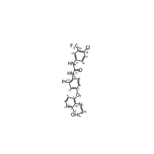 Cc1nccc(Oc2ccc(NC(=O)Nc3ccc(Cl)c(C(F)(F)F)c3)c(F)c2)c1/N=C\C=O